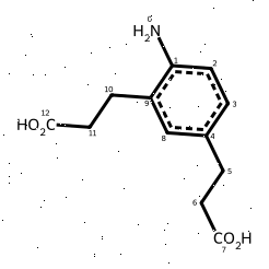 Nc1ccc(CCC(=O)O)cc1CCC(=O)O